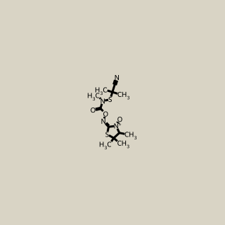 CC1[N+](=O)C(=NOC(=O)N(C)SC(C)(C)C#N)SC1(C)C